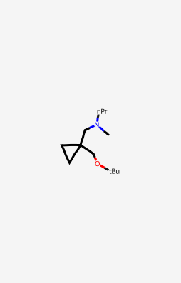 CCCN(C)CC1(COC(C)(C)C)CC1